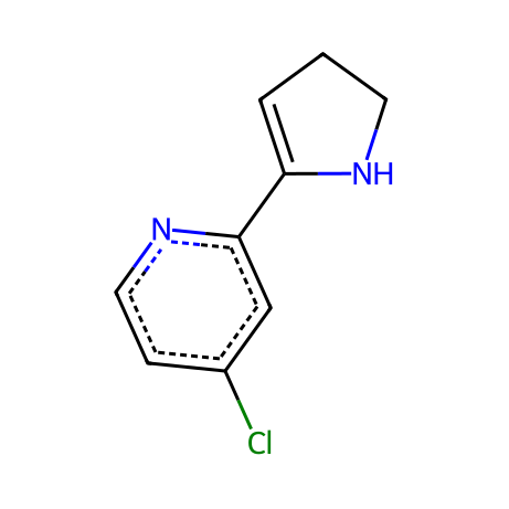 Clc1ccnc(C2=CCCN2)c1